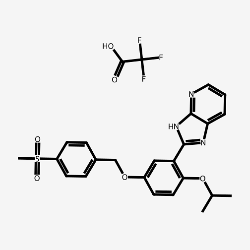 CC(C)Oc1ccc(OCc2ccc(S(C)(=O)=O)cc2)cc1-c1nc2cccnc2[nH]1.O=C(O)C(F)(F)F